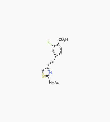 CC(=O)Nc1nc(C=Cc2ccc(C(=O)O)c(F)c2)cs1